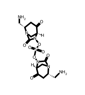 NC[C@@H]1CC(=O)[C@@H]2CN1C(=O)N2OS(=O)(=O)ON1C(=O)N2C[C@H]1C(=O)C[C@H]2CN